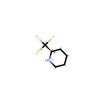 FC(F)(F)[C@H]1CCCCN1